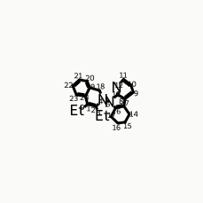 CCC1=C(CC)N(n2c3c(c4cccnc42)CCCC3)Cc2ccccc21